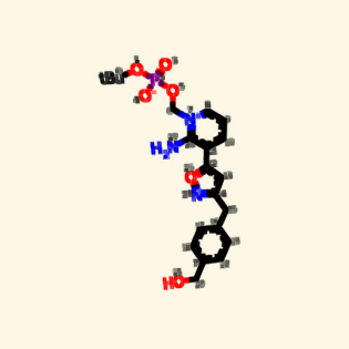 CC(C)(C)OP(=O)([O-])OC[n+]1cccc(-c2cc(Cc3ccc(CO)cc3)no2)c1N